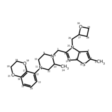 CC1=CC2C(N=C(CN3CCN(c4cccc5c4OCCO5)CC3C)N2CC2CCO2)S1